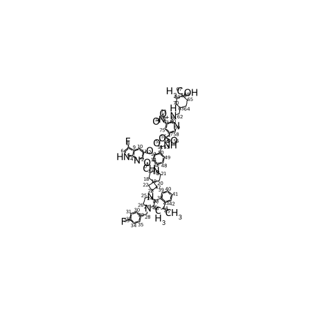 COc1nc2[nH]cc(F)c2cc1Oc1cc(N2CCC3(CC2)CC(N2CCN(Cc4ccc(F)cc4)C[C@H]2c2ccccc2C(C)C)C3)ccc1C(=O)NS(=O)(=O)c1cnc(NCC2CCC(C)(O)CC2)c([N+](=O)[O-])c1